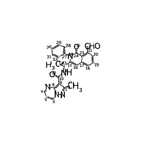 Cc1nn2cccnc2c1C(=O)N[C@@H](C)c1cc2cccc(C=O)c2c(=O)n1-c1ccccc1